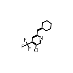 FC(F)(F)c1cc(C=C2CCCCC2)ncc1Cl